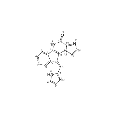 O=c1[nH]c2c3ccccc3c(=Cc3ncc[nH]3)c2n2ccnc12